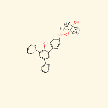 CC(C)(O)C(C)(C)OBc1ccc2c(c1)oc1c(C3C=CC=CC3)cc(-c3ccccc3)cc12